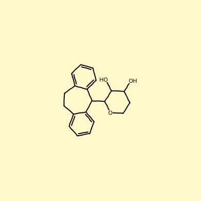 OC1CCOC(C2c3ccccc3CCc3ccccc32)C1O